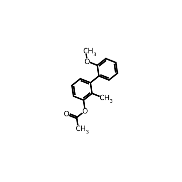 COc1ccccc1-c1cccc(OC(C)=O)c1C